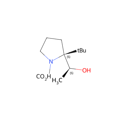 C[C@H](O)[C@@]1(C(C)(C)C)CCCN1C(=O)O